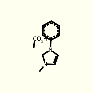 CC(=O)O.CN1C=CN(c2ccccc2)C1